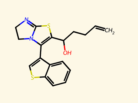 C=CCCC(O)C1=C(c2csc3ccccc23)N2CCN=C2S1